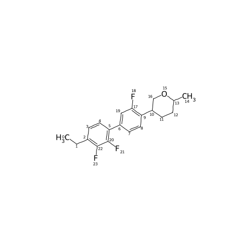 CCc1ccc(-c2ccc(C3CCC(C)OC3)c(F)c2)c(F)c1F